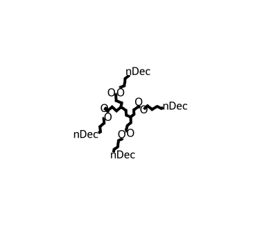 CCCCCCCCCCCCCCOC(=O)CCC(CCC(=O)OCCCCCCCCCCCCCC)CCC(CCC(=O)OCCCCCCCCCCCCCC)CCC(=O)OCCCCCCCCCCCCCC